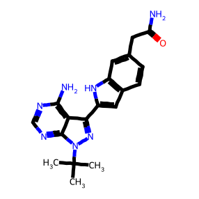 CC(C)(C)n1nc(-c2cc3ccc(CC(N)=O)cc3[nH]2)c2c(N)ncnc21